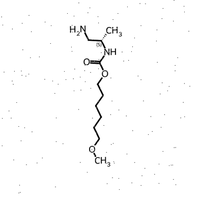 COCCCCCCOC(=O)N[C@@H](C)CN